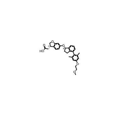 COCCOc1cc(C)c(-c2cccc3c2CC[C@H]3Oc2ccc3c(c2)OC[C@H]3CC(=O)O)c(C)c1